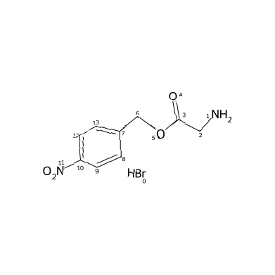 Br.NCC(=O)OCc1ccc([N+](=O)[O-])cc1